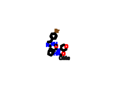 COC(=O)NN(C(=O)[C@H]1C2CCC(C2)[C@@H]1c1ncc(-c2ccc(Br)cc2)[nH]1)C1CCOCC1